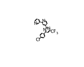 FC(F)(F)c1cc(-c2ccc(Cl)cc2)nc(-c2ccnc(-c3cccnc3)c2)n1